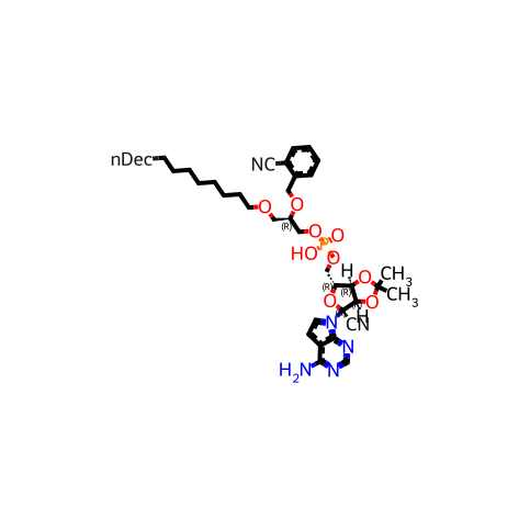 CCCCCCCCCCCCCCCCCCOC[C@H](COP(=O)(O)OC[C@H]1O[C@@](C#N)(n2ccc3c(N)ncnc32)[C@@H]2OC(C)(C)O[C@@H]21)OCc1ccccc1C#N